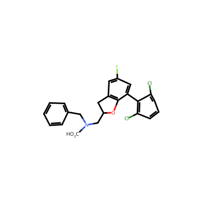 O=C(O)N(Cc1ccccc1)CC1Cc2cc(F)cc(-c3c(Cl)cccc3Cl)c2O1